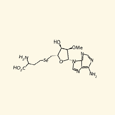 CO[C@@H]1[C@H](O)[C@@H](C[Se]CCC(N)C(=O)O)O[C@H]1n1cnc2c(N)ncnc21